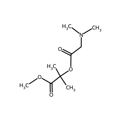 COC(=O)C(C)(C)OC(=O)CN(C)C